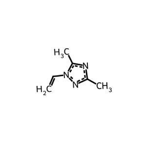 C=Cn1nc(C)nc1C